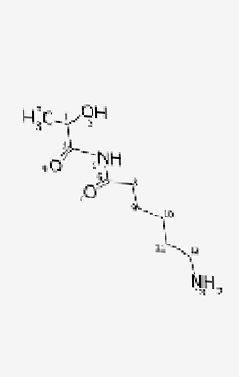 CC(O)C(=O)NC(=O)CCCCCN